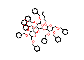 C=CCCCO[C@H]1OC(COCc2ccccc2)[C@H](OCc2ccccc2)[C@@H](OCc2ccccc2)C1O[C@H]1OC(COCc2ccccc2)[C@H](OCc2ccccc2)[C@@H](OCc2ccccc2)C1O[C@H]1OC(COCc2ccccc2)[C@H](OCc2ccccc2)[C@@H](OCc2ccccc2)C1OC(C)=O